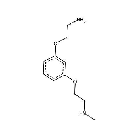 CNCCOc1cccc(OCCN)c1